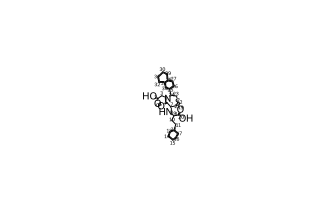 O=C(O)CN1C(=O)C(NC(CCc2ccccc2)C(=O)O)CSCC1c1ccc2ccccc2c1